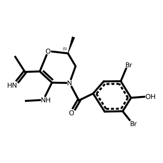 CNC1=C(C(C)=N)O[C@@H](C)CN1C(=O)c1cc(Br)c(O)c(Br)c1